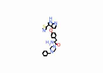 N[C@@H](Cc1ccc(Oc2ccnc3[nH]cc(-c4cncs4)c23)cc1)C(=O)N1CCN(Cc2ccccc2)CC1